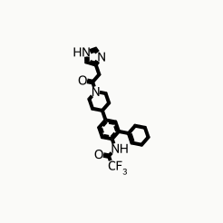 O=C(Cc1c[nH]cn1)N1CCC(c2ccc(NC(=O)C(F)(F)F)c(C3=CCCCC3)c2)CC1